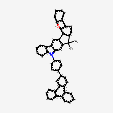 CC1(C)c2cc3c(cc2-c2c1ccc1c2oc2ccccc21)c1ccccc1n3-c1ccc(-c2ccc3c4ccccc4c4ccccc4c3c2)cc1